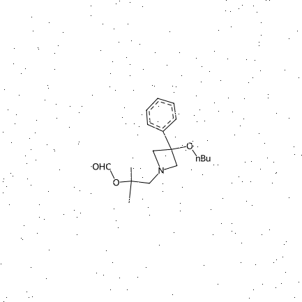 CCCCOC1(c2ccccc2)CN(CC(C)(C)O[C]=O)C1